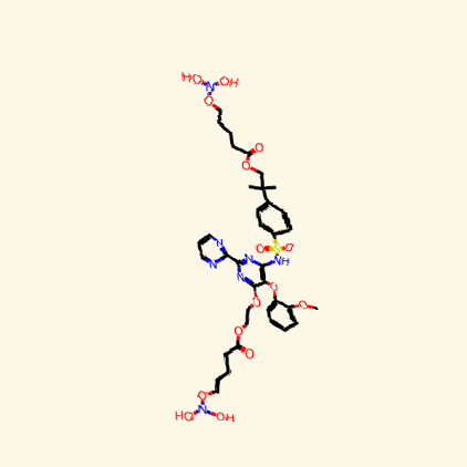 COc1ccccc1Oc1c(NS(=O)(=O)c2ccc(C(C)(C)COC(=O)CCCCON(O)O)cc2)nc(-c2ncccn2)nc1OCCOC(=O)CCCCON(O)O